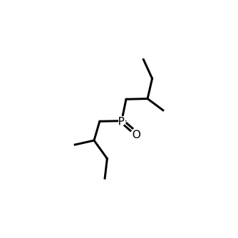 CCC(C)C[P](=O)CC(C)CC